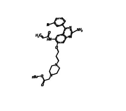 C=CC(=O)Nc1cc2c(-c3cccc(Br)c3)nc(N)nc2cc1OCCCN1CCN(CC(=O)OCCCC)CC1